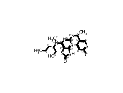 CCC[C@H](CO)N(C)c1nc(S[C@@H](C)c2ccc(Cl)nc2)nc2[nH]c(=O)sc12